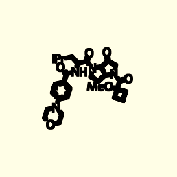 COC1(C(=O)N2CC(=O)C3C2CCN3C(=O)C(CC(C)C)NC(=O)c2ccc(N3CCOCC3)cc2)CCC1